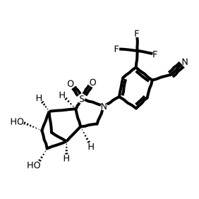 N#Cc1ccc(N2C[C@H]3[C@@H]4C[C@@H]([C@@H](O)[C@H]4O)[C@H]3S2(=O)=O)cc1C(F)(F)F